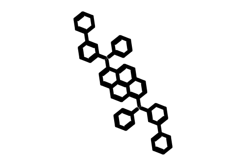 C1=CCCC(c2cccc(N(c3ccccc3)c3ccc4ccc5c(N(C6=CC(c7ccccc7)=CCC6)c6ccccc6)ccc6ccc3c4c65)c2)=C1